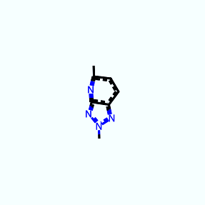 Cc1ccc2nn(C)nc2n1